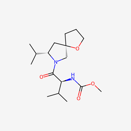 COC(=O)N[C@H](C(=O)N1C[C@@]2(CCCO2)C[C@H]1C(C)C)C(C)C